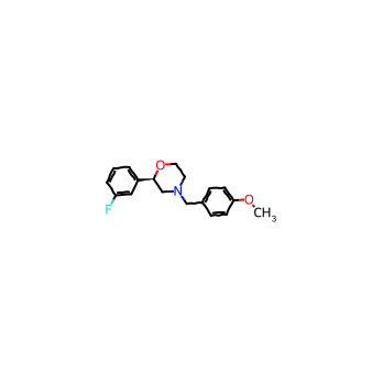 COc1ccc(CN2CCO[C@H](c3cccc(F)c3)C2)cc1